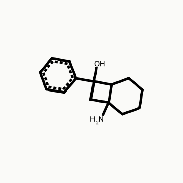 NC12CCCCC1C(O)(c1ccccc1)C2